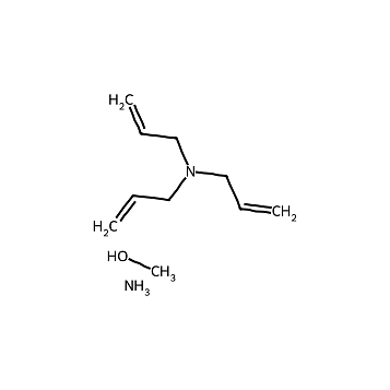 C=CCN(CC=C)CC=C.CO.N